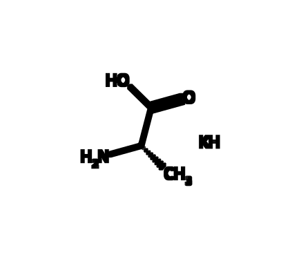 C[C@H](N)C(=O)O.[KH]